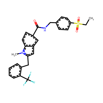 CCS(=O)(=O)c1ccc(CNC(=O)c2ccc3c(c2)cc(Cc2ccccc2C(F)(F)F)n3C)cc1